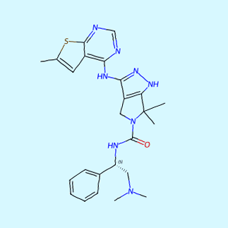 Cc1cc2c(Nc3n[nH]c4c3CN(C(=O)N[C@H](CN(C)C)c3ccccc3)C4(C)C)ncnc2s1